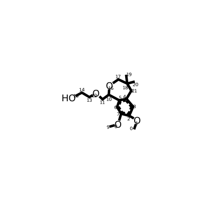 COc1cc2c(cc1OC)C(COCCO)OCC(C)(C)C2